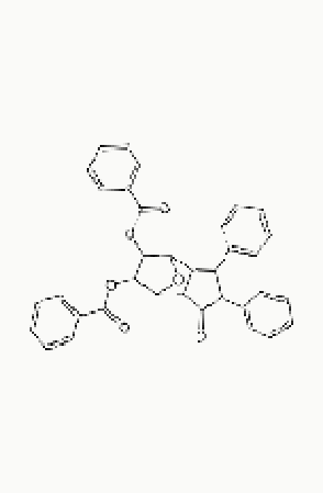 O=C(OC1C(OC(=O)c2ccccc2)C2OC1C1C(=O)C(c3ccccc3)C(c3ccccc3)C21)c1ccccc1